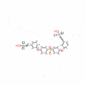 CCC(O)(C#Cc1cccc(Oc2ccc(S(=O)(=O)c3ccc(Oc4cccc(C#CC(O)(CC)CC)c4)cc3)cc2)c1)CC